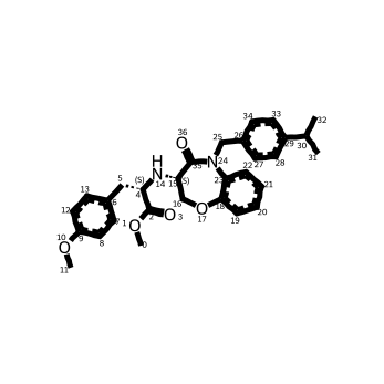 COC(=O)[C@H](Cc1ccc(OC)cc1)N[C@H]1COc2ccccc2N(Cc2ccc(C(C)C)cc2)C1=O